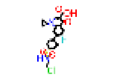 O=C(O)c1cn(C2CC2)c2cc(-c3ccc(S(=O)(=O)NCCCl)cc3)c(F)cc2c1=O